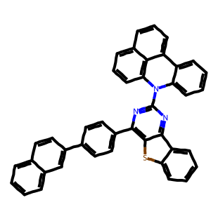 c1ccc2c(c1)-c1cccc3cccc(c13)N2c1nc(-c2ccc(-c3ccc4ccccc4c3)cc2)c2sc3ccccc3c2n1